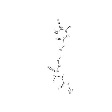 CC(OC(=O)COCCOC(=O)C(C)OC(=O)CO)C(=O)O